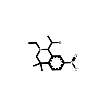 CCN1CC(C)(C)c2ccc([N+](=O)[O-])cc2C1C(C)Br